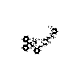 COC(=O)NC(C(=O)Nc1ccccc1CC[C@@H]1CN[C@H](CNS(=O)(=O)c2cccc(C(F)(F)F)n2)CO1)C(c1ccccc1)c1ccccc1